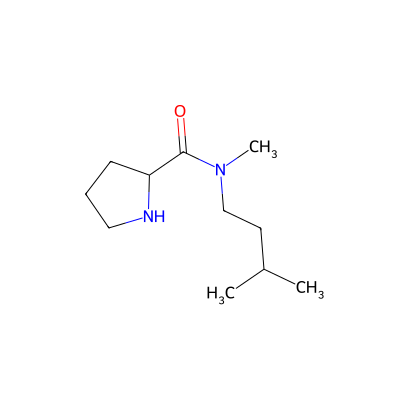 CC(C)CCN(C)C(=O)C1CCCN1